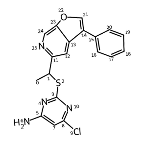 CC(Sc1nc(N)cc(Cl)n1)c1cc2c(-c3ccccc3)coc2cn1